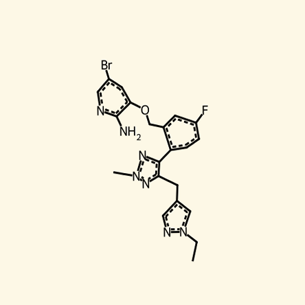 CCn1cc(Cc2nn(C)nc2-c2ccc(F)cc2COc2cc(Br)cnc2N)cn1